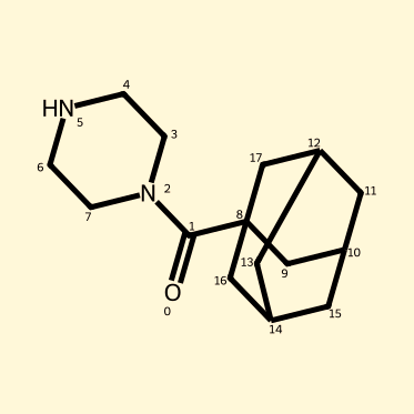 O=C(N1CCNCC1)C12CC3CC(CC(C3)C1)C2